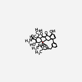 CCCN(Cc1cccc(-c2ccc(O)c3c2CC2CC4C(C(O)=C2C3=O)[C@](C)(CC)C(C(N)=O)=C(O)[C@H]4N(C)C)c1)CC1CC1